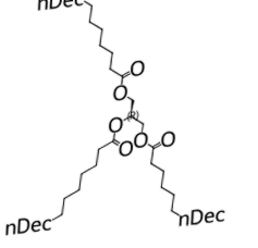 CCCCCCCCCCCCCCCCC(=O)OC[C@@H](COC(=O)CCCCCCCCCCCCCCC)OC(=O)CCCCCCCCCCCCCCCC